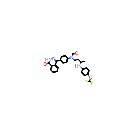 CC(CCN(C=O)c1ccc(-c2n[nH]c(=O)c3ccccc23)cc1)Nc1ccc(OC(F)F)cc1